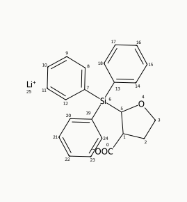 O=C([O-])C1CCOC1[Si](c1ccccc1)(c1ccccc1)c1ccccc1.[Li+]